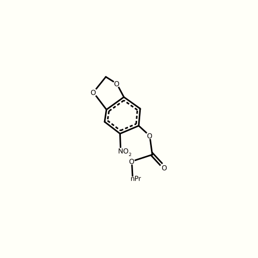 CCCOC(=O)Oc1cc2c(cc1[N+](=O)[O-])OCO2